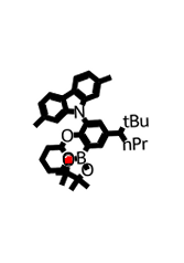 CCCC(c1cc(B2OC(C)(C)C(C)(C)O2)c(OC2CCCCO2)c(-n2c3cc(C)ccc3c3ccc(C)cc32)c1)C(C)(C)C